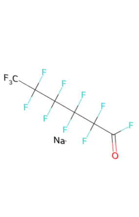 O=C(F)C(F)(F)C(F)(F)C(F)(F)C(F)(F)C(F)(F)F.[Na]